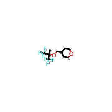 CC(OCC1CCOCC1)(C(F)(F)F)C(F)(F)F